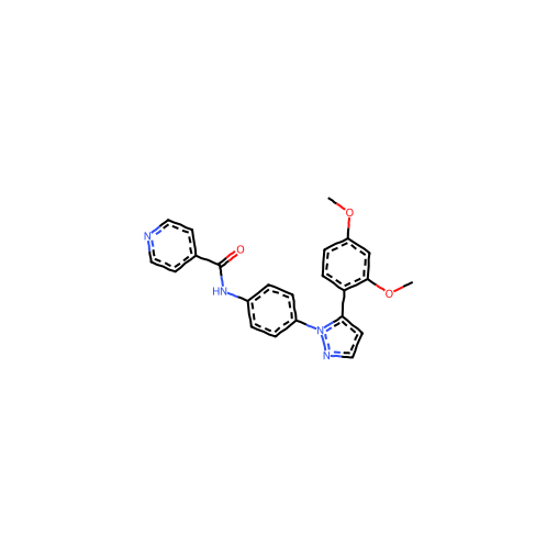 COc1ccc(-c2ccnn2-c2ccc(NC(=O)c3ccncc3)cc2)c(OC)c1